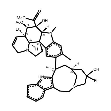 CCC1(O)C[C@H]2CN(CCc3c([nH]c4ccccc34)[C@@](C)(c3cc4c(cc3C)N(C)[C@H]3C(O)(C(=O)OC)[C@H](OC(C)=O)[C@]5(CC)C=CCN6CC[C@]43[C@@H]65)C2)C1